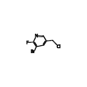 Fc1ncc(CCl)cc1Br